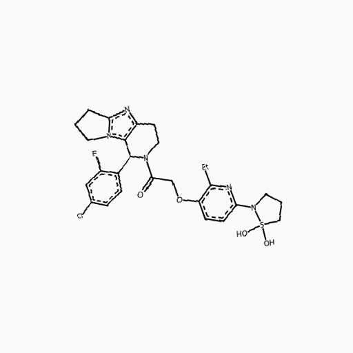 CCc1nc(N2CCCS2(O)O)ccc1OCC(=O)N1CCc2nc3n(c2C1c1ccc(Cl)cc1F)CCC3